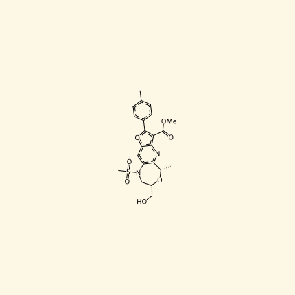 COC(=O)c1c(-c2ccc(C)cc2)oc2cc3c(nc12)[C@H](C)O[C@H](CO)CN3S(C)(=O)=O